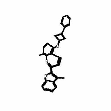 Cc1c(-c2ccc3c(OC4CC(c5ccccc5)C4)ccc(C)c3n2)oc2ccccc12